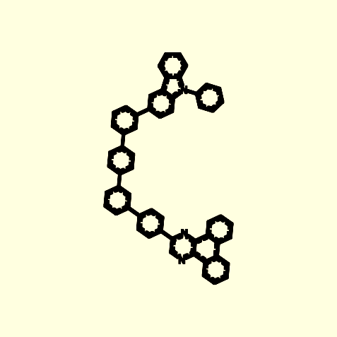 c1ccc(-n2c3ccccc3c3cc(-c4cccc(-c5ccc(-c6cccc(-c7ccc(-c8cnc9c%10ccccc%10c%10ccccc%10c9n8)cc7)c6)cc5)c4)ccc32)cc1